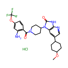 COC1CCC(c2cnc3[nH]c(=O)n(C4CCN(C(=O)c5ccc(OC(F)(F)F)cc5N)CC4)c3c2)CC1.Cl